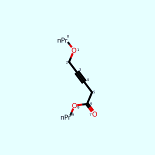 CCCOCC#CCC(=O)OCCC